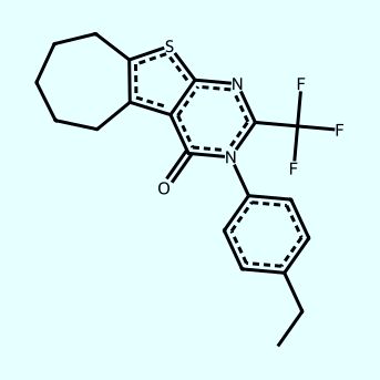 CCc1ccc(-n2c(C(F)(F)F)nc3sc4c(c3c2=O)CCCCC4)cc1